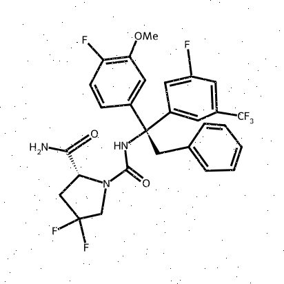 COc1cc([C@@](Cc2ccccc2)(NC(=O)N2CC(F)(F)C[C@@H]2C(N)=O)c2cc(F)cc(C(F)(F)F)c2)ccc1F